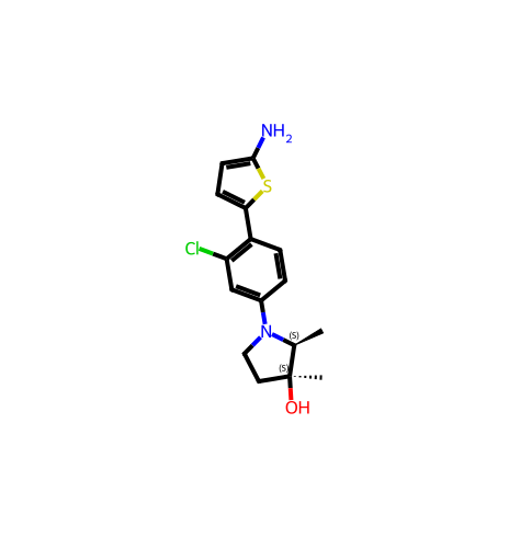 C[C@@H]1N(c2ccc(-c3ccc(N)s3)c(Cl)c2)CC[C@]1(C)O